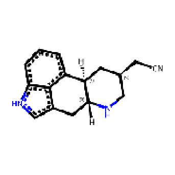 N#CC[C@H]1CN[C@@H]2Cc3c[nH]c4cccc(c34)[C@H]2C1